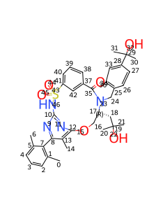 Cc1cccc(C)c1-c1nc2nc(c1C)OC[C@@H](CC(C)(C)O)N(Cc1ccc(C(C)(C)O)cc1)C(=O)c1cccc(c1)S(=O)(=O)N2